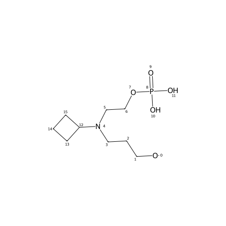 [O]CCCN(CCOP(=O)(O)O)C1CCC1